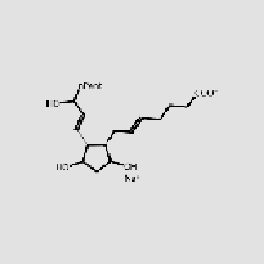 CCCCCC(O)/C=C/[C@H]1C(O)CC(O)[C@@H]1C/C=C/CCCC(=O)[O-].[Na+]